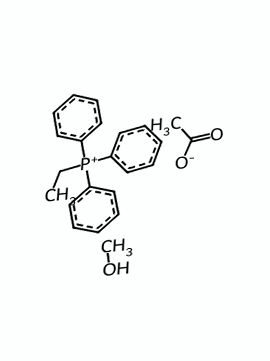 CC(=O)[O-].CC[P+](c1ccccc1)(c1ccccc1)c1ccccc1.CO